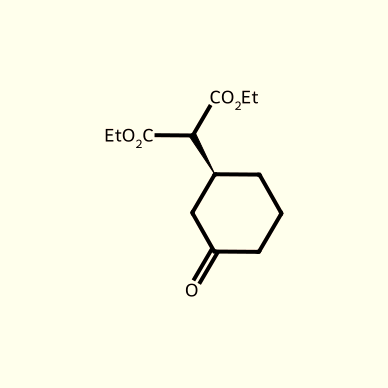 CCOC(=O)C(C(=O)OCC)[C@H]1CCCC(=O)C1